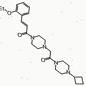 CCOc1ccccc1C=CC(=O)N1CCN(CC(=O)N2CCN(C3CCC3)CC2)CC1